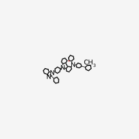 Cc1ccccc1-c1ccc(N(c2ccccc2)c2cccc3c2c2ccccc2n3-c2ccc(-n3c(-c4ccccc4)nc4ccccc43)cc2)cc1